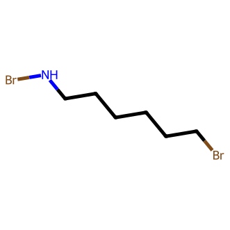 BrCCCCCCNBr